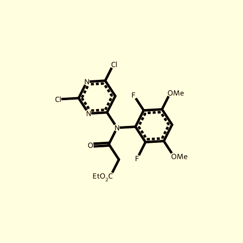 CCOC(=O)CC(=O)N(c1cc(Cl)nc(Cl)n1)c1c(F)c(OC)cc(OC)c1F